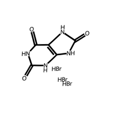 Br.Br.Br.O=c1[nH]c(=O)c2[nH]c(=O)[nH]c2[nH]1